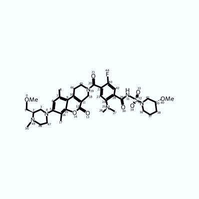 COC[C@H]1CN(c2cc(C)c3c4c(c(=O)oc3c2C)CN(C(=O)c2cc(N(C)C)c(C(=O)NS(=O)(=O)N3CCC[C@@H](OC)C3)cc2F)CC4)CCN1C